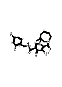 CC12CC=CCN(C1)C(=O)c1c(O)c(=O)c(C(=O)NCc3ccc(F)cc3F)cn12